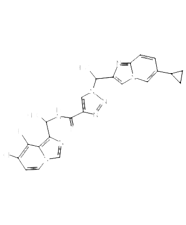 CC(NC(=O)c1cn(C(C)c2cn3cc(C4CC4)ccc3n2)nn1)c1ncn2ccc(Cl)c(F)c12